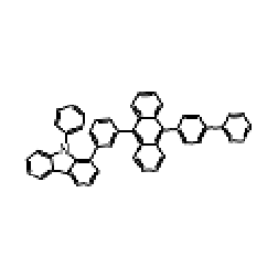 c1ccc(-c2ccc(-c3c4ccccc4c(-c4cccc(-c5cccc6c7ccccc7n(-c7ccccc7)c56)c4)c4ccccc34)cc2)cc1